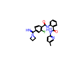 Cc1ccc(NC(=O)c2ccccc2NC(=O)c2ccc(C(=N)N3CCC3)cc2F)nc1